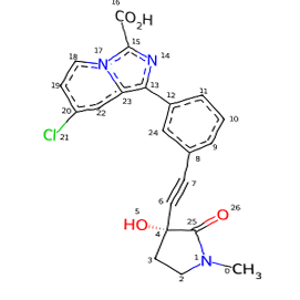 CN1CC[C@@](O)(C#Cc2cccc(-c3nc(C(=O)O)n4ccc(Cl)cc34)c2)C1=O